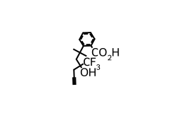 C#CCC(O)(CC(C)(C)c1ccccc1C(=O)O)C(F)(F)F